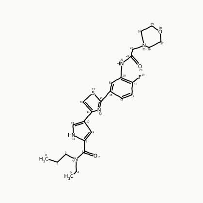 CCCN(CC)C(=O)c1cc(-c2csc(-c3ccc(F)c(NC(=O)CN4CCOCC4)c3)n2)c[nH]1